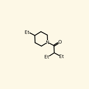 CCC1CCN(C(=O)C(CC)CC)CC1